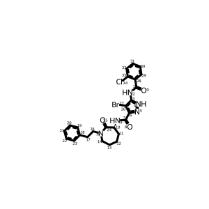 O=C(Nc1[nH]nc(C(=O)N[C@@H]2CCCCN(CCc3ccccc3)C2=O)c1Br)c1ccccc1Cl